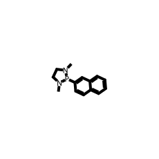 CN1CCN(C)P1c1ccc2ccccc2c1